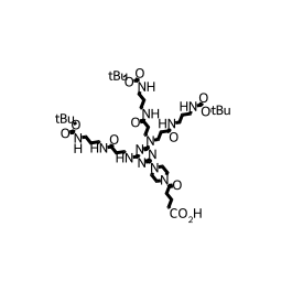 CC(C)(C)OC(=O)NCCCNC(=O)CCNc1nc(N(CCC(=O)NCCCNC(=O)OC(C)(C)C)CCC(=O)NCCCNC(=O)OC(C)(C)C)nc(N2CCN(C(=O)CCCC(=O)O)CC2)n1